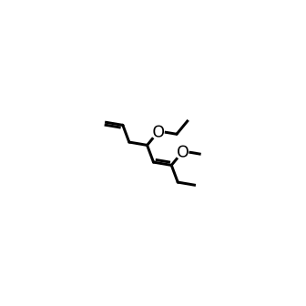 C=CCC(C=C(CC)OC)OCC